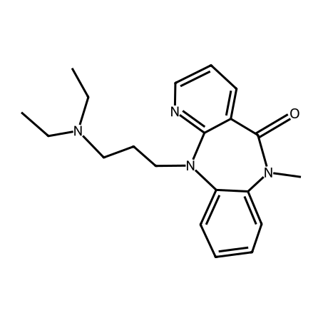 CCN(CC)CCCN1c2ccccc2N(C)C(=O)c2cccnc21